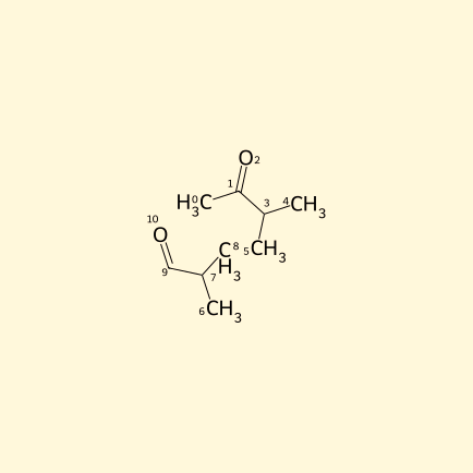 CC(=O)C(C)C.CC(C)C=O